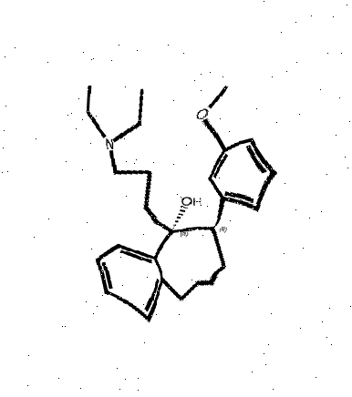 CCN(CC)CCC[C@]1(O)c2ccccc2CCC[C@@H]1c1cccc(OC)c1